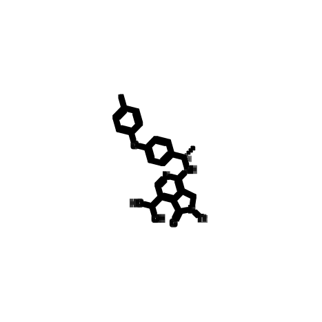 CCN1Cc2c(N[C@@H](C)c3ccc(Oc4ccc(C)cc4)cc3)ncc(C(O)O)c2C1=O